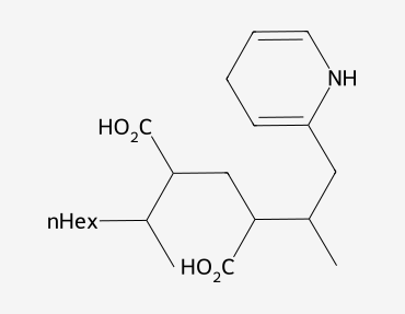 CCCCCCC(C)C(CC(C(=O)O)C(C)CC1=CCC=CN1)C(=O)O